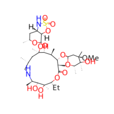 CC[C@H]1OC(=O)[C@H](C)[C@@H](O[C@H]2C[C@@](C)(OC)[C@@](C)(O)[C@H](C)O2)[C@H](C)[C@@H](O[C@@H]2O[C@H](C)C[C@@H]3NS(=O)(=O)O[C@@H]23)[C@](C)(O)C[C@@H](C)CN[C@H](C)[C@@H](O)[C@]1(C)O